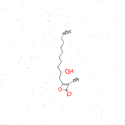 CCCCCCCCCCCCCCCCC[C@H](O)CC1=C(CCC)C(=O)O1